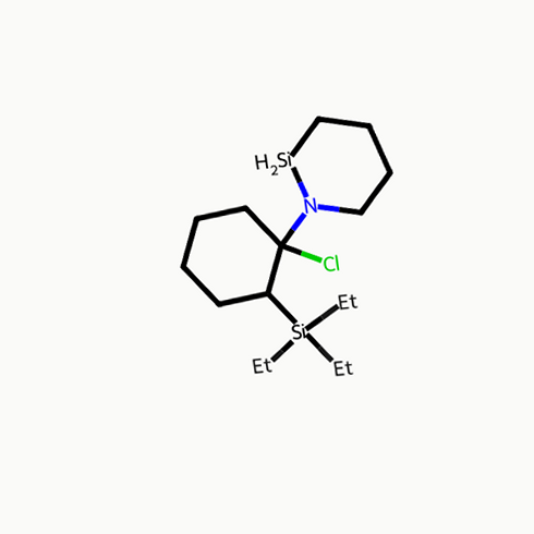 CC[Si](CC)(CC)C1CCCCC1(Cl)N1CCCC[SiH2]1